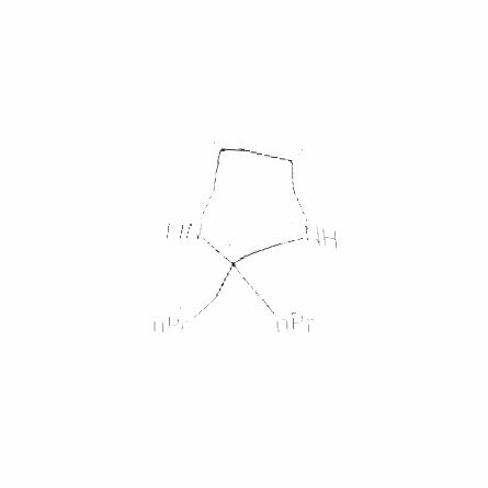 CCCC1(CCC)NCCN1